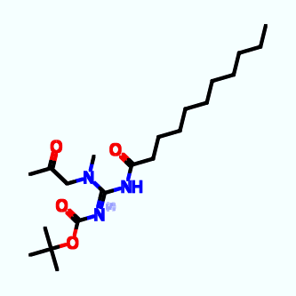 CCCCCCCCCCC(=O)N/C(=N/C(=O)OC(C)(C)C)N(C)CC(C)=O